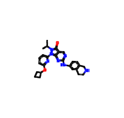 CC(C)n1c(=O)c2cnc(Nc3ccc4c(c3)CCNC4)nc2n1-c1cccc(OC2CCC2)n1